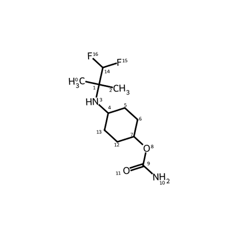 CC(C)(NC1CCC(OC(N)=O)CC1)C(F)F